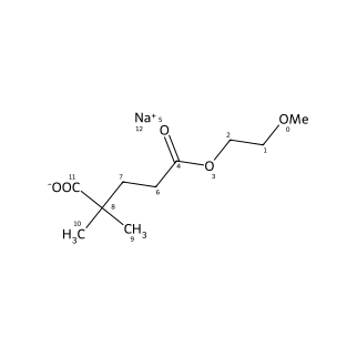 COCCOC(=O)CCC(C)(C)C(=O)[O-].[Na+]